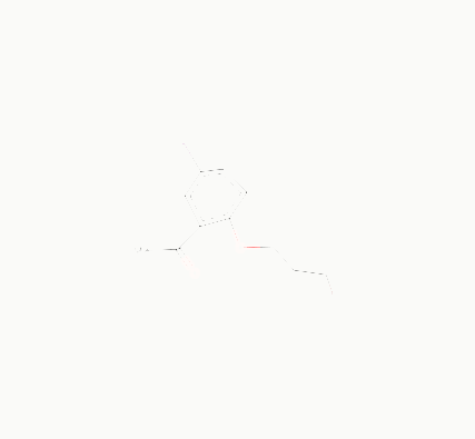 COC(=O)c1cc(I)ccc1OCCCBr